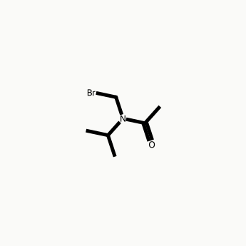 CC(=O)N(CBr)C(C)C